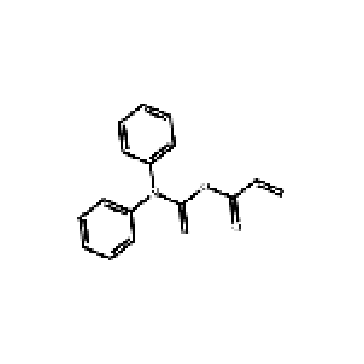 C=CC(=O)OC(=C)N(c1ccccc1)c1ccccc1